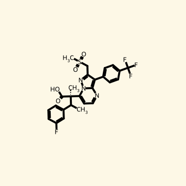 CC(c1cccc(F)c1)[C@@](C)(C(=O)O)c1ccnc2c(-c3ccc(C(F)(F)F)cc3)c(CS(C)(=O)=O)nn12